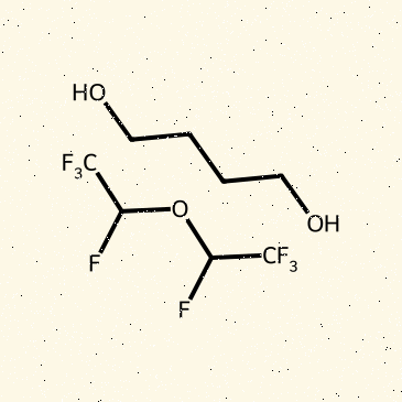 FC(OC(F)C(F)(F)F)C(F)(F)F.OCCCCO